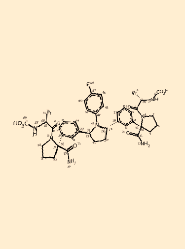 CC(C)[C@H](NC(=O)O)C(=O)N1CCC[C@@]1(C(N)=O)c1cccc([C@@H]2CC[C@@H](c3cccc([C@]4(C(N)=O)CCCN4C(=O)[C@@H](NC(=O)O)C(C)C)c3)N2c2ccc(F)cc2)c1